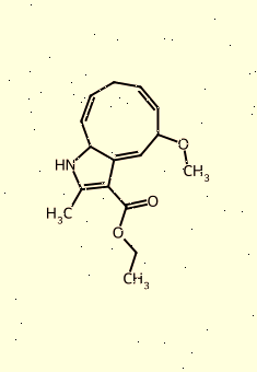 CCOC(=O)C1=C(C)NC2C=CCC=CC(OC)/C=C/12